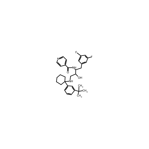 CC(C)(C)c1cccc(C2(NCC(O)C(Cc3cc(F)cc(F)c3)NC(=O)c3ccncc3)CCCCC2)c1